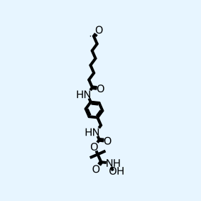 CC(C)(OC(=O)NCc1ccc(NC(=O)CCCCCC[C]=O)cc1)C(=O)NO